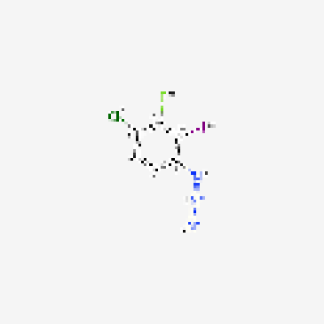 [N-]=[N+]=Nc1ccc(Cl)c(F)c1I